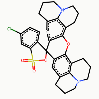 O=S1(=O)OC2(c3ccc(Cl)cc31)c1cc3c4c(c1Oc1c2cc2c5c1CCCN5CCC2)CCCN4CCC3